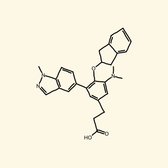 CN(C)c1cc(CCC(=O)O)cc(-c2ccc3c(cnn3C)c2)c1OC1Cc2ccccc2C1